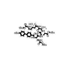 CCCCOC(=O)CC[C@H](NC(=O)[C@H](CNC(=O)OC(C)(C)C)NC(=O)c1ccc(-c2ccc(CCCC)cc2)cc1)C(=O)N[C@@H](C)C(=O)NC(CCCCNC(=O)OC(C)(C)C)C(=O)O